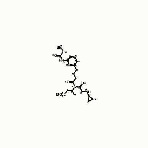 CCOC(=O)CC(C)N(C(=O)CCCc1cccc(NC(=O)OC(C)(C)C)n1)C(=O)CNC1CC1